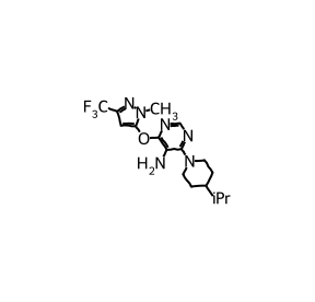 [CH2]C(C)C1CCN(c2ncnc(Oc3cc(C(F)(F)F)nn3C)c2N)CC1